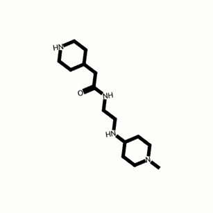 CN1CCC(NCCNC(=O)CC2CCNCC2)CC1